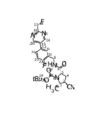 C[C@H]1[C@H](C#N)C[C@@H](C(=O)NCc2cc(-c3cnc(CF)nc3)ccc2F)N1C(=O)OC(C)(C)C